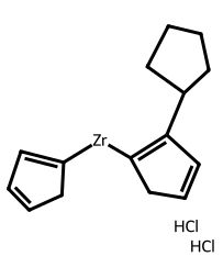 C1=CC[C]([Zr][C]2=C(C3CCCC3)C=CC2)=C1.Cl.Cl